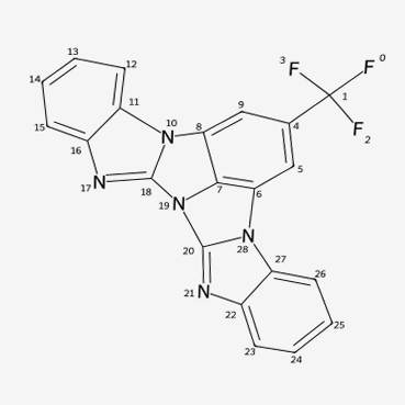 FC(F)(F)c1cc2c3c(c1)n1c4ccccc4nc1n3c1nc3ccccc3n21